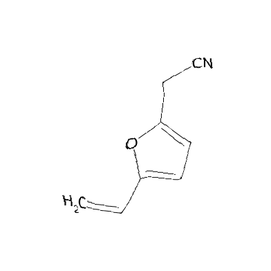 C=Cc1ccc(CC#N)o1